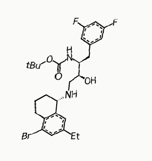 CCc1cc(Br)c2c(c1)[C@@H](NC[C@H](O)[C@H](Cc1cc(F)cc(F)c1)NC(=O)OC(C)(C)C)CCC2